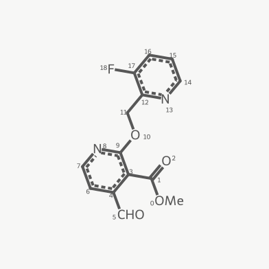 COC(=O)c1c(C=O)ccnc1OCc1ncccc1F